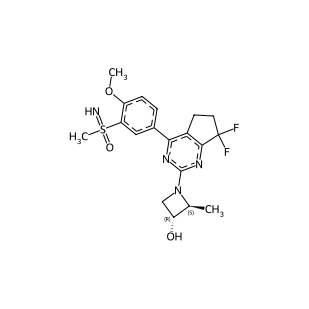 COc1ccc(-c2nc(N3C[C@@H](O)[C@@H]3C)nc3c2CCC3(F)F)cc1S(C)(=N)=O